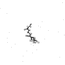 C=C(CCC/C(C)=C\CC)C1CC(C)(C)C1